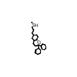 C=[SH]CCCC1CCC2OC(C3=CCCCC3)(C3C=CCCC3)CCC2C1